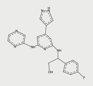 OCC(Nc1cc(-c2cn[nH]c2)cc(Nc2cnccn2)n1)c1ccc(F)cc1